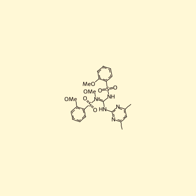 COc1ccccc1S(=O)(=O)NC(Nc1nc(C)cc(C)n1)=[N+](OC)S(=O)(=O)c1ccccc1OC